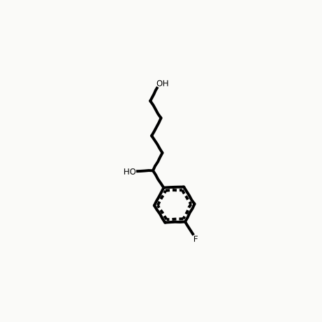 OCCCCC(O)c1ccc(F)cc1